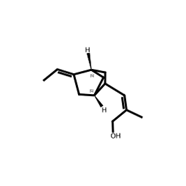 CC=C1C[C@@H]2C[C@H]1CC2C=C(C)CO